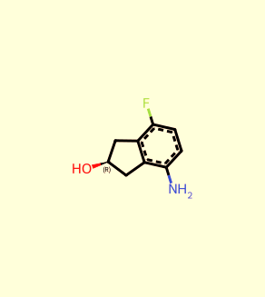 Nc1ccc(F)c2c1C[C@@H](O)C2